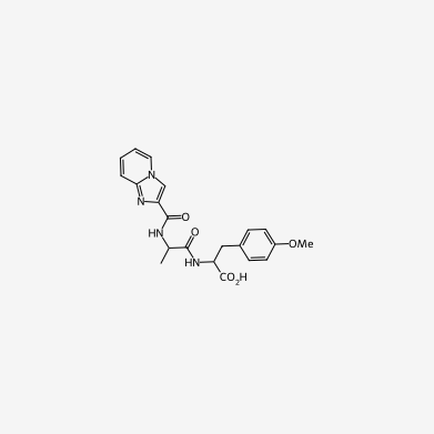 COc1ccc(CC(NC(=O)C(C)NC(=O)c2cn3ccccc3n2)C(=O)O)cc1